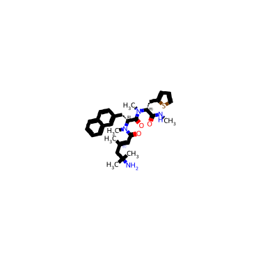 CNC(=O)[C@@H](Cc1cccs1)N(C)C(=O)[C@@H](Cc1ccc2ccccc2c1)N(C)C(=O)/C=C(\C)CC(C)(C)N